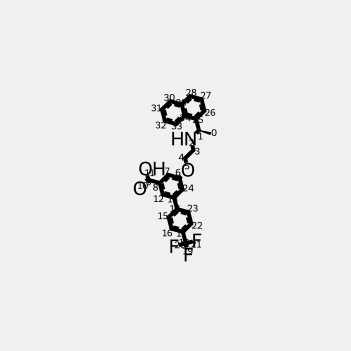 C[C@@H](NCCOc1cc(C(=O)O)cc(-c2ccc(C(F)(F)F)cc2)c1)c1cccc2ccccc12